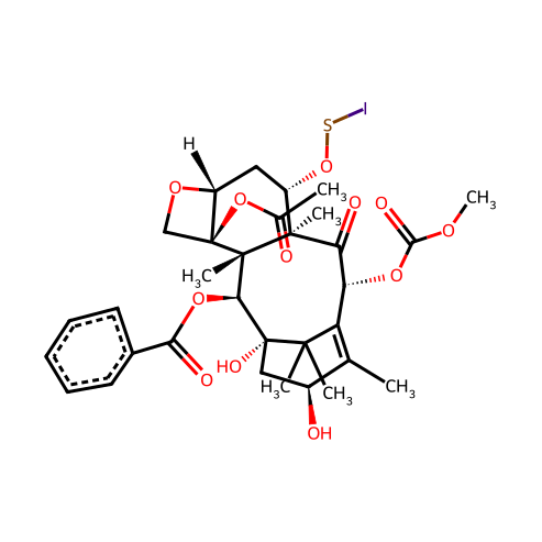 COC(=O)O[C@H]1C(=O)[C@]2(C)[C@@H](OSI)C[C@H]3OC[C@@]3(OC(C)=O)[C@@]2(C)[C@H](OC(=O)c2ccccc2)[C@]2(O)C[C@H](O)C(C)=C1C2(C)C